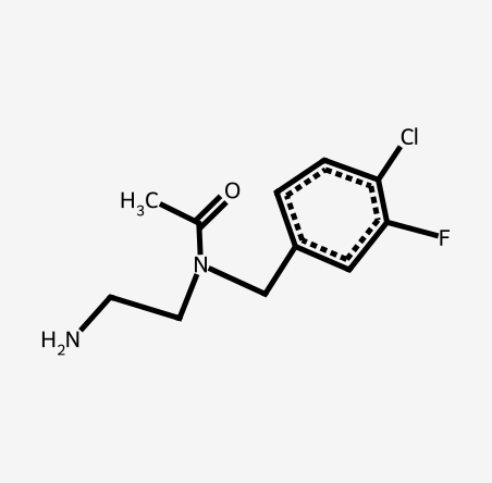 CC(=O)N(CCN)Cc1ccc(Cl)c(F)c1